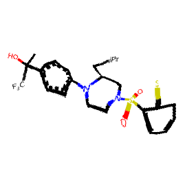 CC(C)C[C@H]1CN(S(=O)(=O)C2=CC=CCC2=S)CCN1c1ccc(C(C)(O)C(F)(F)F)cc1